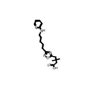 CC(C)(CC(=O)O)Cc1nc(CCCCCNc2ccccn2)no1